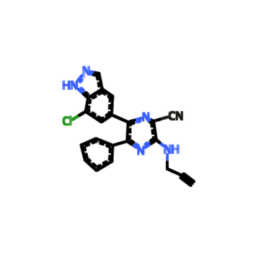 C#CCNc1nc(-c2ccccc2)c(-c2cc(Cl)c3[nH]ncc3c2)nc1C#N